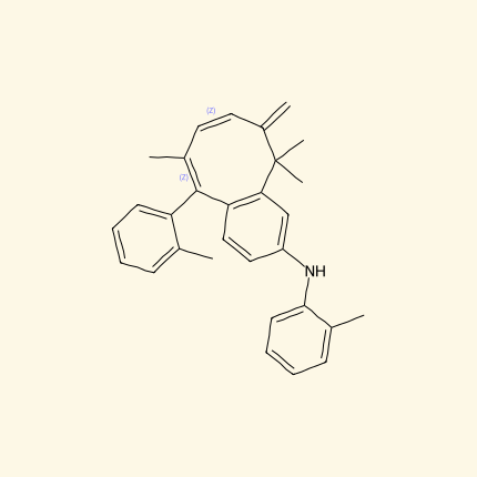 C=C1/C=C\C(C)=C(\c2ccccc2C)c2ccc(Nc3ccccc3C)cc2C1(C)C